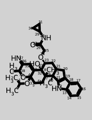 CC(C)OC12CCC3(C)[C@@]4(C)c5[nH]c6ccccc6c5CC4C[C@H](OCC(=O)NC4CC4)[C@@]3(O)C1=CC(=N)C(C)O2